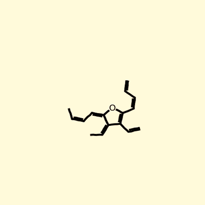 C=C/C=C\c1oc(=C/C=C\C)/c(=C\C)c1C=C